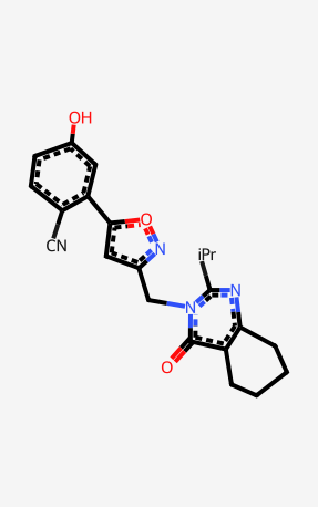 CC(C)c1nc2c(c(=O)n1Cc1cc(-c3cc(O)ccc3C#N)on1)CCCC2